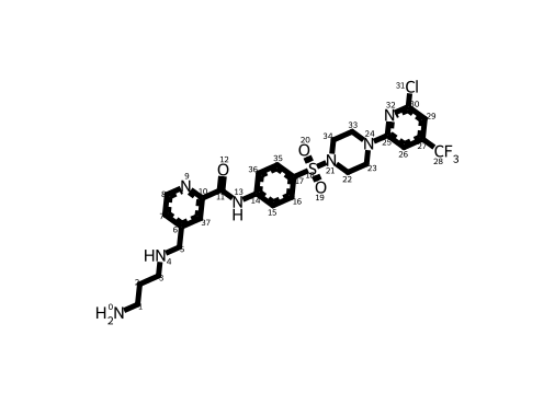 NCCCNCc1ccnc(C(=O)Nc2ccc(S(=O)(=O)N3CCN(c4cc(C(F)(F)F)cc(Cl)n4)CC3)cc2)c1